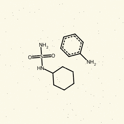 NS(=O)(=O)NC1CCCCC1.Nc1ccccc1